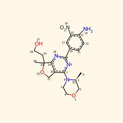 C[C@H]1COCCN1c1nc(-c2ccc(N)c([N+](=O)[O-])c2)nc2c1COC2(C)CCO